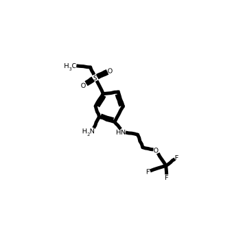 CCS(=O)(=O)c1ccc(NCCOC(F)(F)F)c(N)c1